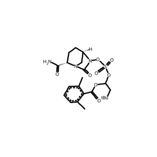 Cc1cccc(C)c1C(=O)OC(CC(C)(C)C)OS(=O)(=O)ON1C(=O)N2C[C@H]1CC[C@H]2C(N)=O